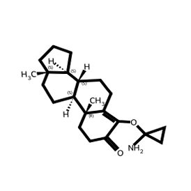 C[C@@]12CCC[C@H]1[C@@H]1CCC3=C(OC4(N)CC4)C(=O)CC[C@]3(C)[C@H]1CC2